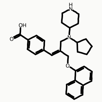 O=C(O)c1ccc(C=C(COc2cccc3ccccc23)CN(C2CCCC2)C2CCNCC2)cc1